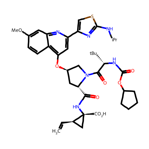 C=C[C@@H]1C[C@]1(NC(=O)[C@@H]1C[C@@H](Oc2cc(-c3csc(NC(C)C)n3)nc3cc(OC)ccc23)CN1C(=O)[C@@H](NC(=O)OC1CCCC1)C(C)(C)C)C(=O)O